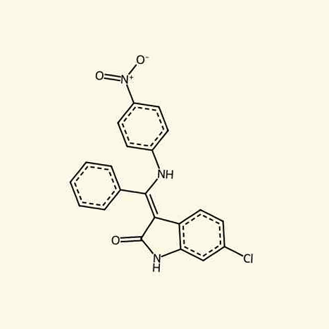 O=C1Nc2cc(Cl)ccc2C1=C(Nc1ccc([N+](=O)[O-])cc1)c1ccccc1